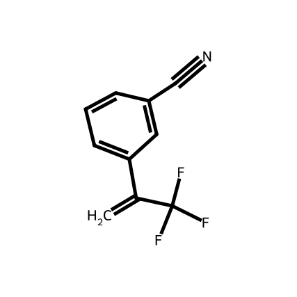 C=C(c1cccc(C#N)c1)C(F)(F)F